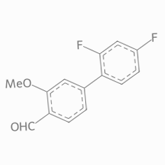 COc1cc(-c2ccc(F)cc2F)ccc1C=O